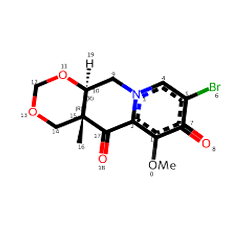 COc1c2n(cc(Br)c1=O)C[C@@H]1OCOC[C@@]1(C)C2=O